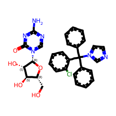 Clc1ccccc1C(c1ccccc1)(c1ccccc1)n1ccnc1.Nc1ncn([C@@H]2O[C@H](CO)[C@@H](O)[C@@H]2O)c(=O)n1